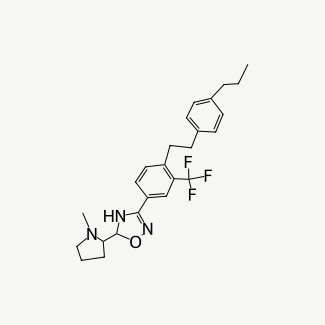 CCCc1ccc(CCc2ccc(C3=NOC(C4CCCN4C)N3)cc2C(F)(F)F)cc1